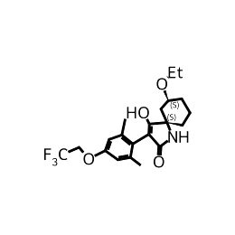 CCO[C@H]1CCC[C@@]2(C1)NC(=O)C(c1c(C)cc(OCC(F)(F)F)cc1C)=C2O